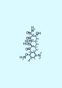 CN(C)c1cc(I)c(ON)c2c1CC1CC3CC(O)=C(C(N)=O)C(=O)[C@@]3(O)C(O)=C1C2=O